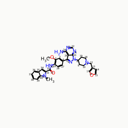 COc1cc(-c2nn(C3CCN(Cc4ccoc4)CC3)c3ncnc(N)c23)ccc1NC(=O)c1cc2ccccc2n1C